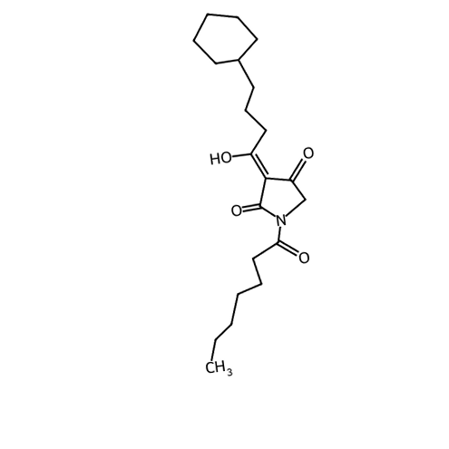 CCCCCCC(=O)N1CC(=O)/C(=C(/O)CCCC2CCCCC2)C1=O